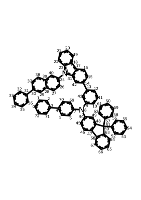 c1ccc(-c2ccc(N(c3cccc(-c4ccc5c6ccccc6n(-c6ccc7cc(-c8ccccc8)ccc7c6)c5c4)c3)c3ccc4c(c3)C(c3ccccc3)(c3ccccc3)c3ccccc3-4)cc2)cc1